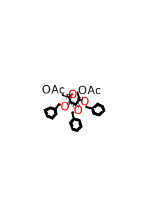 CC(=O)OC[C@H]1OC(OC(C)=O)[C@@H](OCc2ccccc2)[C@@H](OCc2ccccc2)[C@@H]1OCc1ccccc1